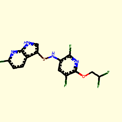 Fc1cc(NSc2c[nH]c3nc(Cl)ccc23)c(F)nc1OCC(F)F